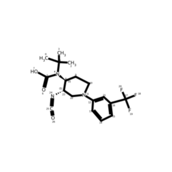 CC(C)(C)N(C(=O)O)[C@H]1CCN(c2cccc(C(F)(F)F)c2)C[C@@H]1N=C=O